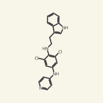 Clc1cc(Nc2ccncc2)cc(Cl)c1NCCc1c[nH]c2ccccc12